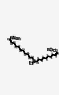 CCCCCCCC/C=C\CCCCCCCCN(CC)CCCCCCCCC/C=C\CCCCCCCCC